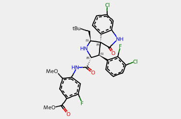 COC(=O)c1cc(OC)c(NC(=O)[C@@H]2N[C@@H](CC(C)(C)C)[C@@]3(C(=O)Nc4cc(Cl)ccc43)[C@H]2c2cccc(Cl)c2F)cc1F